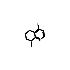 F[C@H]1CCCc2c(Cl)ccnc21